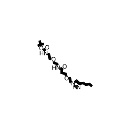 CCCCc1cn(CCOCCC(=O)NCCOCCNC(=O)OC(C)(C)C)nn1